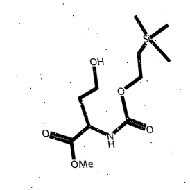 COC(=O)C(CCO)NC(=O)OCC[Si](C)(C)C